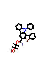 CC(C)(O)C(C)(C)O[C@@H](I)c1cc2c3ccccc3n(-c3ccccc3)c2c2c1sc1ccccc12